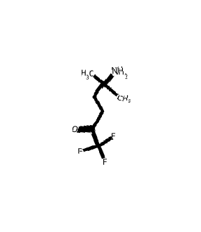 CC(C)(N)CCC(=O)C(F)(F)F